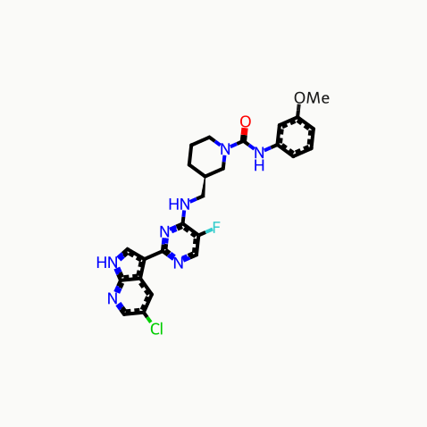 COc1cccc(NC(=O)N2CCC[C@H](CNc3nc(-c4c[nH]c5ncc(Cl)cc45)ncc3F)C2)c1